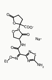 CCO/N=C(\C(=O)N[C@H]1CON(C2(C(=O)[O-])CCC(=O)O2)C1=O)c1nsc(N)n1.[Na+]